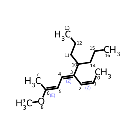 C\C=C/C(=C\C=C(/C)OC)C(CCC)CCC